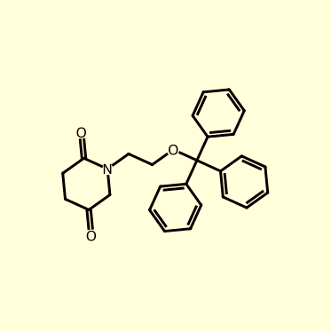 O=C1CCC(=O)N(CCOC(c2ccccc2)(c2ccccc2)c2ccccc2)C1